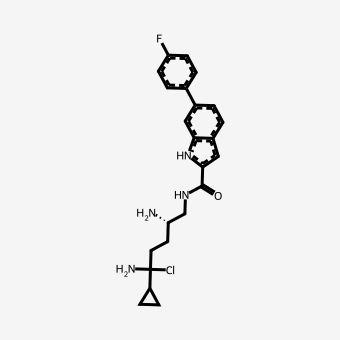 N[C@@H](CCC(N)(Cl)C1CC1)CNC(=O)c1cc2ccc(-c3ccc(F)cc3)cc2[nH]1